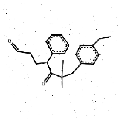 CCc1ccc(CC(C)(C)C(=O)C(CCC=O)c2ccccc2)cc1